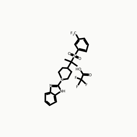 CC(C)(C1CCN(c2nc3ccccc3[nH]2)CC1)S(=O)(=O)c1cccc(C(F)(F)F)c1.O=C(O)C(F)(F)F